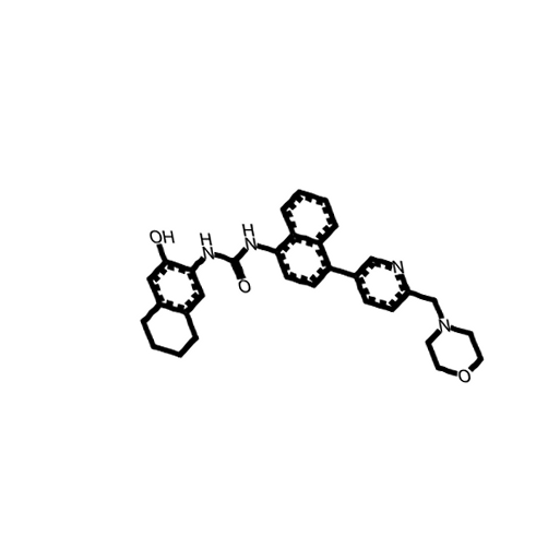 O=C(Nc1cc2c(cc1O)CCCC2)Nc1ccc(-c2ccc(CN3CCOCC3)nc2)c2ccccc12